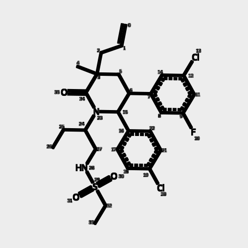 C=CCC1(C)CC(c2cc(F)cc(Cl)c2)C(c2ccc(Cl)cc2)N(C(CC)CNS(=O)(=O)CC)C1=O